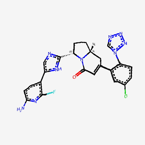 Nc1ccc(-c2cnc([C@@H]3CC[C@@H]4CC(c5cc(Cl)ccc5-n5cnnn5)=CC(=O)N43)[nH]2)c(F)n1